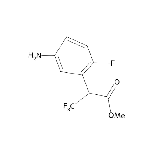 COC(=O)C(c1cc(N)ccc1F)C(F)(F)F